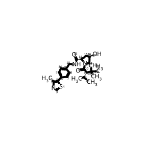 Cc1ncsc1-c1ccc(CNC(=O)[C@@H]2C[C@@H](O)CN2C(=O)[C@@H](C(C)C)C(C)(C)C)cc1